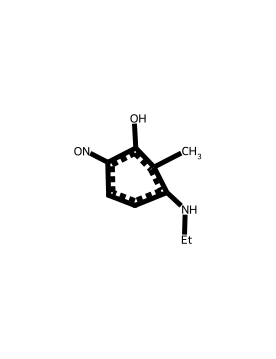 CCNc1ccc(N=O)c(O)c1C